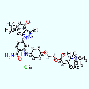 CCc1nn(-c2ccc(C(N)=O)c(NC3CCC(OCCOC(=O)CC(C[N+](C)(C)C)OC(C)=O)CC3)c2)c2c1C(=O)CC(C)(C)C2.[Cl-]